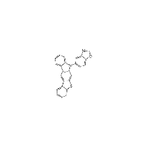 c1ccc2c(c1)sc1cc3c(cc12)c1ccccc1n3-c1ccc2ocnc2c1